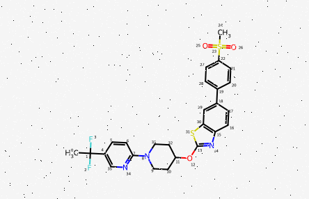 CC(F)(F)c1ccc(N2CCC(Oc3nc4ccc(-c5ccc(S(C)(=O)=O)cc5)cc4s3)CC2)nc1